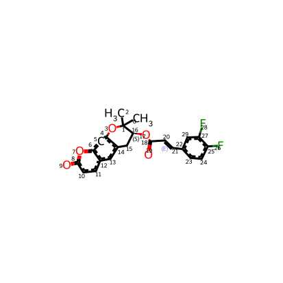 CC1(C)Oc2cc3oc(=O)ccc3cc2C[C@@H]1OC(=O)/C=C/c1ccc(F)c(F)c1